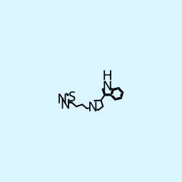 c1ccc2c(C3CCN(CCCc4nncs4)C3)c[nH]c2c1